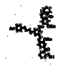 COc1cc(C(=O)N2CCCC[C@H]2C=N)ccc1OCc1cc(COc2cc3c(cc2OC)C(=O)N2CCCC[C@H]2C=N3)cc(OCCOc2ccc(C(C)=O)cc2)c1